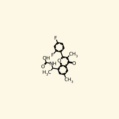 Cc1cc(C(C)NC(=O)O)c2oc(-c3ccc(F)cc3F)c(C)c(=O)c2c1